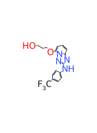 OCCCOc1cccc2nc(Nc3ccc(C(F)(F)F)cc3)nn12